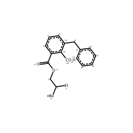 CCCCC(CC)COC(=O)c1cccc(Cc2ccccc2)c1C(=O)O